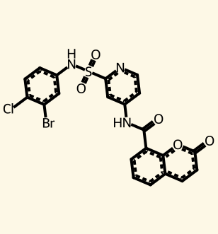 O=C(Nc1ccnc(S(=O)(=O)Nc2ccc(Cl)c(Br)c2)c1)c1cccc2ccc(=O)oc12